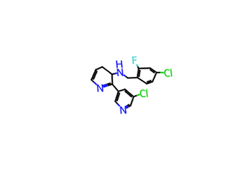 Fc1cc(Cl)ccc1CNC1CC=CN=C1c1cncc(Cl)c1